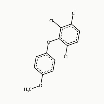 COc1ccc(Oc2c(Cl)[c]cc(Cl)c2Cl)cc1